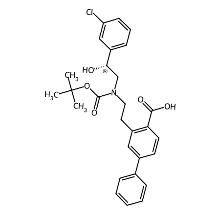 CC(C)(C)OC(=O)N(CCc1cc(-c2ccccc2)ccc1C(=O)O)C[C@H](O)c1cccc(Cl)c1